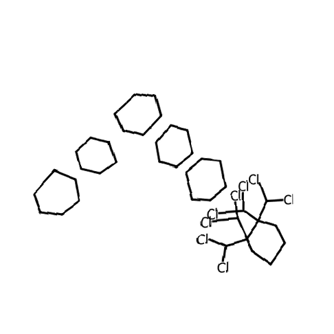 C1CCCCC1.C1CCCCC1.C1CCCCC1.C1CCCCC1.C1CCCCC1.ClC(Cl)C1(C(Cl)Cl)CCCCC1(C(Cl)Cl)C(Cl)Cl